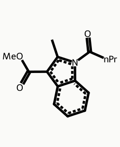 CCCC(=O)n1c(C)c(C(=O)OC)c2ccccc21